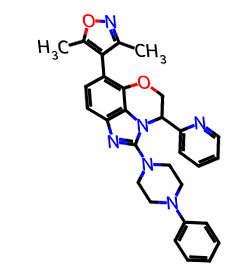 Cc1noc(C)c1-c1ccc2nc(N3CCN(c4ccccc4)CC3)n3c2c1OCC3c1ccccn1